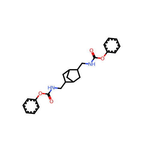 O=C(NCC1CC2CC1CC2CNC(=O)Oc1ccccc1)Oc1ccccc1